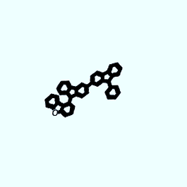 c1ccc(C2c3ccccc3-c3ccc(-c4ccc5c(c4)-c4ccccc4C5c4cccc5oc6ccccc6c45)cc32)cc1